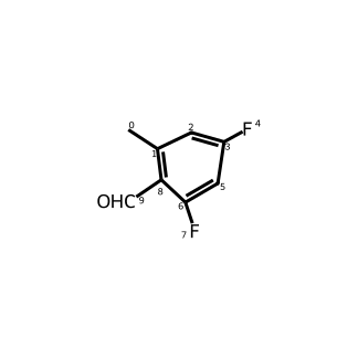 Cc1cc(F)cc(F)c1C=O